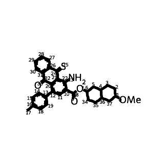 COC1CCC2CC(OC(=O)c3cc(-c4ccc(C)cc4)c4c(c3N)C(=S)c3ccccc3C4=O)CCC2C1